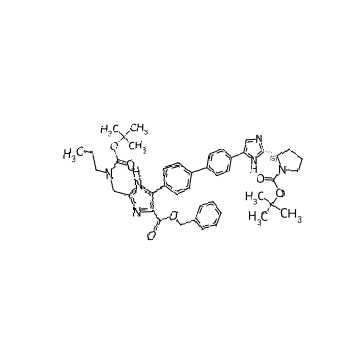 CCCN(Cc1nc(C(=O)OCc2ccccc2)c(-c2ccc(-c3ccc(-c4cnc([C@@H]5CCCN5C(=O)OC(C)(C)C)[nH]4)cc3)cc2)[nH]1)C(=O)OC(C)(C)C